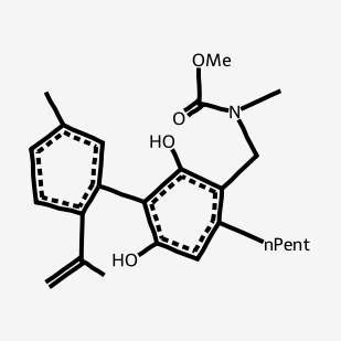 C=C(C)c1ccc(C)cc1-c1c(O)cc(CCCCC)c(CN(C)C(=O)OC)c1O